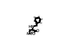 COC(=O)C(CC(C)C)NCc1ccccc1